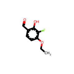 CCOc1ccc(C=O)c(O)c1F